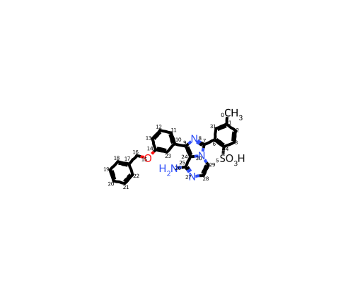 Cc1ccc(S(=O)(=O)O)c(-c2nc(-c3cccc(OCc4ccccc4)c3)c3c(N)nccn23)c1